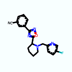 N#Cc1cccc(-c2noc(C3CCCCN3Cc3ccc(F)cn3)n2)c1